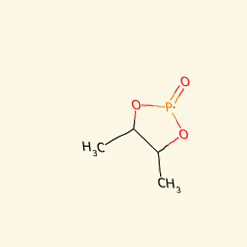 CC1O[P](=O)OC1C